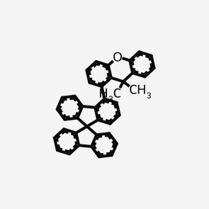 CC1(C)c2ccccc2Oc2cccc(-c3cccc4c3-c3ccccc3C43c4ccccc4-c4ccccc43)c21